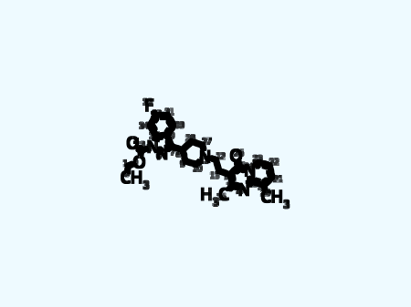 CCOC(=O)n1nc(C2CCN(CCc3c(C)nc4c(C)cccn4c3=O)CC2)c2ccc(F)cc21